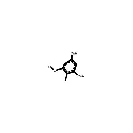 CCOc1cc(OC)cc(OC)c1C